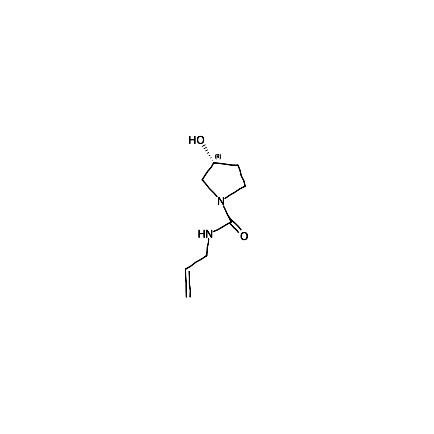 C=CCNC(=O)N1CC[C@@H](O)C1